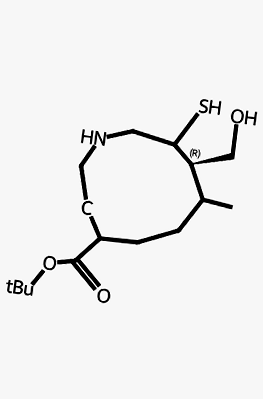 CC1CCC(C(=O)OC(C)(C)C)CCNCC(S)[C@H]1CO